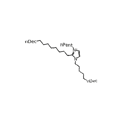 CCCCCCCCCCCCCCCCCCc1n(CCCCCCCCCCCCCCC)cc[n+]1CCCCC